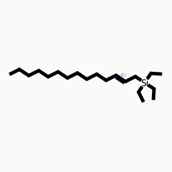 CCCCCCCCCCC/C=C/C[Si](CC)(CC)CC